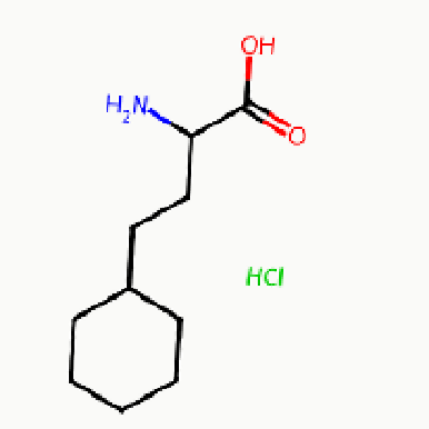 Cl.NC(CCC1CCCCC1)C(=O)O